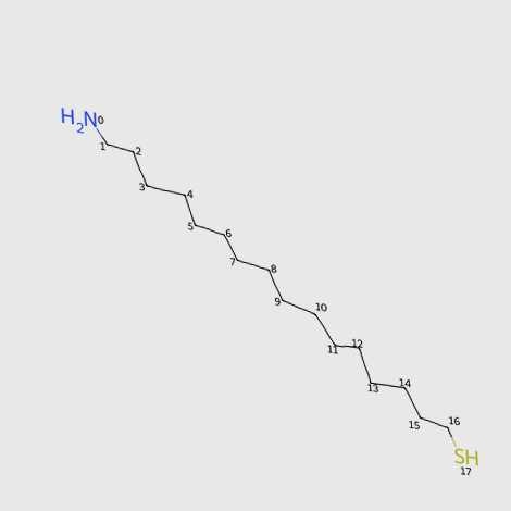 NCCCCCCCCCCCCCCCCS